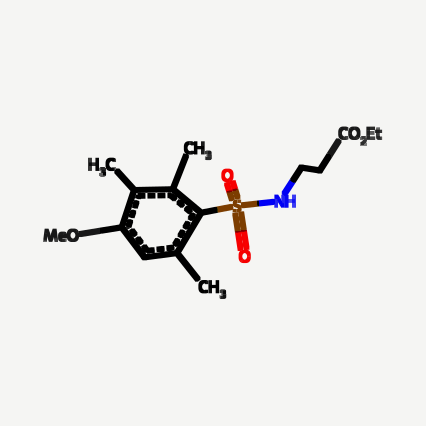 CCOC(=O)CCNS(=O)(=O)c1c(C)cc(OC)c(C)c1C